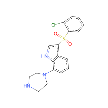 O=S(=O)(c1ccccc1Cl)c1c[nH]c2c(N3CCNCC3)cccc12